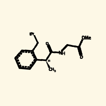 COC(=O)CNC(=O)[C@H](C)c1ccccc1CC(C)C